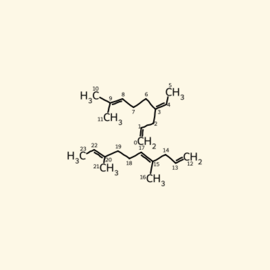 C=CC/C(=C/C)CCC=C(C)C.C=CC/C(C)=C/CC/C(C)=C/C